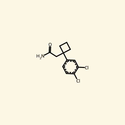 NC(=O)CC1(c2ccc(Cl)c(Cl)c2)CCC1